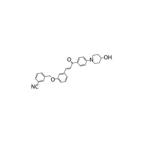 N#Cc1cccc(COc2cccc(C=CC(=O)c3ccc(N4CCC(O)CC4)cc3)c2)c1